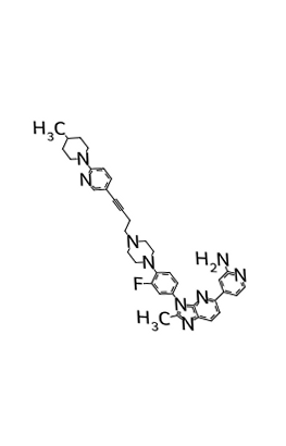 Cc1nc2ccc(-c3ccnc(N)c3)nc2n1-c1ccc(N2CCN(CCC#Cc3ccc(N4CCC(C)CC4)nc3)CC2)c(F)c1